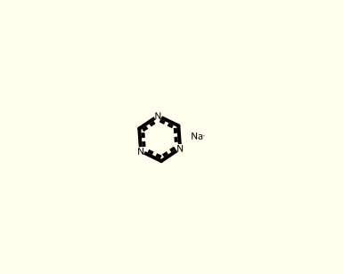 [Na].c1ncncn1